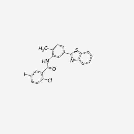 Cc1ccc(-c2nc3ccccc3s2)cc1NC(=O)c1cc(I)ccc1Cl